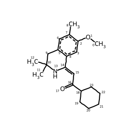 COc1cc2c(cc1C)CC(C)(C)NC2=CC(=O)C1CCCCC1